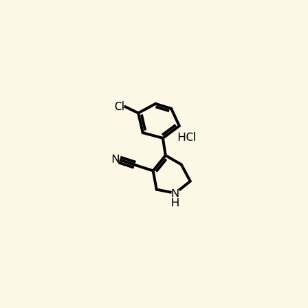 Cl.N#CC1=C(c2cccc(Cl)c2)CCNC1